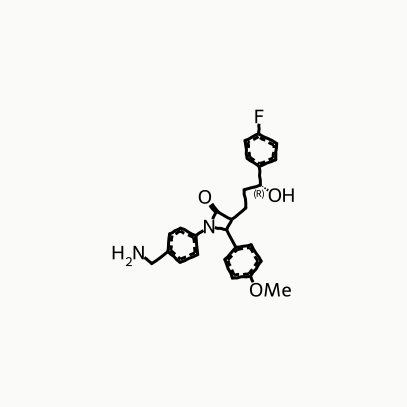 COc1ccc(C2C(CC[C@@H](O)c3ccc(F)cc3)C(=O)N2c2ccc(CN)cc2)cc1